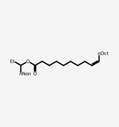 CCCCCCCC/C=C\CCCCCCCC(=O)OC(CC)CCCCCCCCC